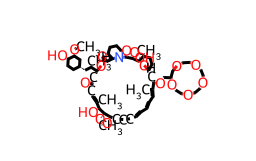 CO[C@@H]1C[C@H](C[C@@H](C)[C@@H]2CC(=O)C/C=C(\C)[C@@H](O)[C@@H](OC)C(=O)CCC/C=C/C=C/C=C(\C)C(OCC3COCCOCCOCCOCCO3)C[C@@H]3CC[C@@H](C)[C@@](O)(O3)C(=O)C(=O)N3CCCC[C@H]3C(=O)O2)CC[C@H]1O